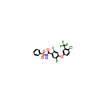 O=C(NS(=O)(=O)c1ccccc1)c1cc(F)c(Oc2ccc(Cl)c(C(F)(F)F)c2)cc1F